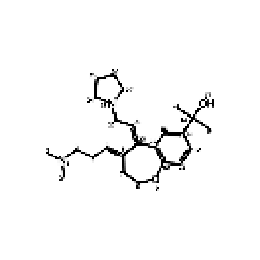 CN(C)CC/C=C1\CCOc2ccc(C(C)(C)O)cc2\C1=C\CN1CCCC1